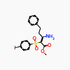 COC(=O)C(=C(N)CCc1ccccc1)S(=O)(=O)c1ccc(I)cc1